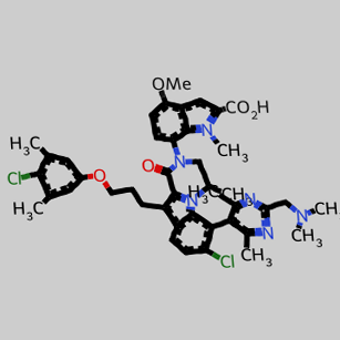 COc1ccc(N2CC(C)n3c(c(CCCOc4cc(C)c(Cl)c(C)c4)c4ccc(Cl)c(-c5c(C)nc(CN(C)C)nc5C)c43)C2=O)c2c1cc(C(=O)O)n2C